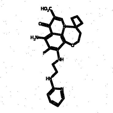 Nc1c(I)c(NCCNc2ccccn2)c2c3c1c(=O)c(C(=O)O)cn3C1(CCC1)CCO2